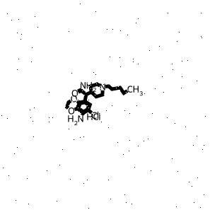 CCCCCN1CCC(C(C(N)=O)c2cc(Cl)c(N)c3c2OCCO3)CC1.Cl